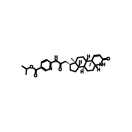 CC(C)OC(=O)c1ccc(NC(=O)C[C@H]2CC[C@H]3[C@@H]4CC[C@H]5NC(=O)C=C[C@]5(C)[C@H]4CC[C@]23C)nc1